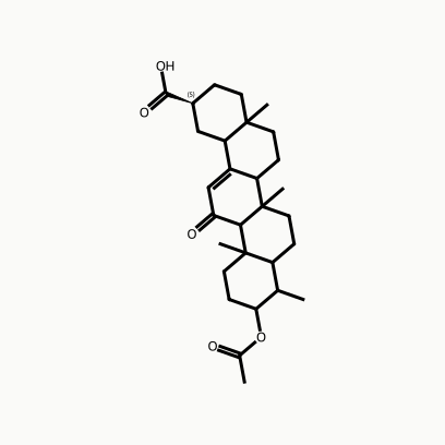 CC(=O)OC1CCC2(C)C(CCC3(C)C4CCC5(C)CC[C@H](C(=O)O)CC5C4=CC(=O)C32)C1C